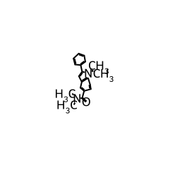 CC(C)n1c(-c2ccccc2)cc2cc(C(=O)N(C)C)ccc21